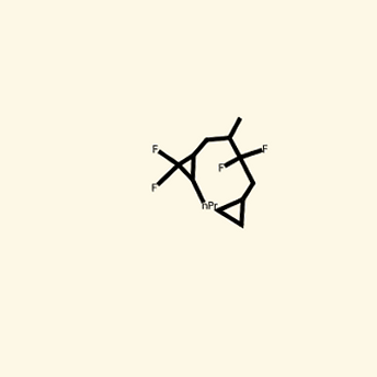 CCCC1C(CC(C)C(F)(F)CC2CC2)C1(F)F